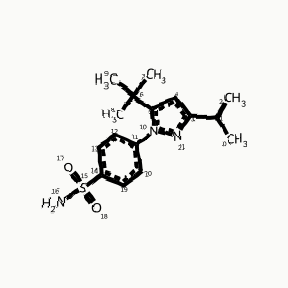 CC(C)c1cc(C(C)(C)C)n(-c2ccc(S(N)(=O)=O)cc2)n1